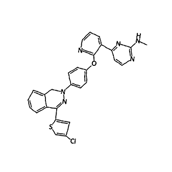 CNc1nccc(-c2cccnc2Oc2ccc(N3Cc4ccccc4C(c4cc(Cl)cs4)=N3)cc2)n1